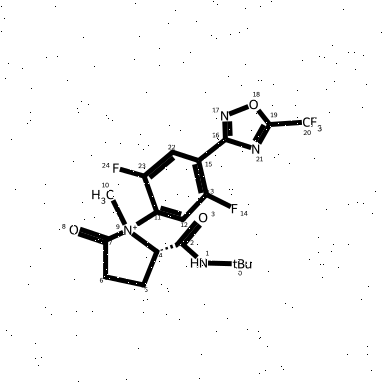 CC(C)(C)NC(=O)[C@@H]1CCC(=O)[N+]1(C)c1cc(F)c(-c2noc(C(F)(F)F)n2)cc1F